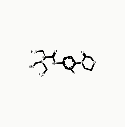 CC(C)(C)CN(CC(F)(F)F)[C@@H](CN)C(=O)Nc1ccc(N2CCOCC2=O)c(F)c1